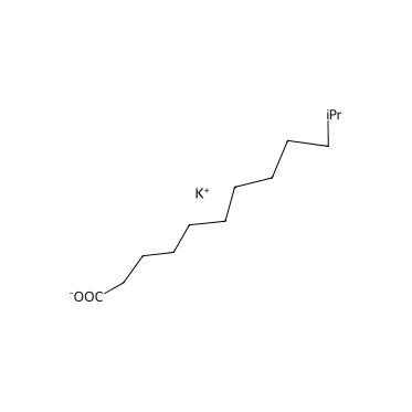 CC(C)CCCCCCCCCC(=O)[O-].[K+]